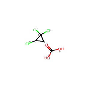 ClC1CC1(Cl)Cl.O=C(O)O